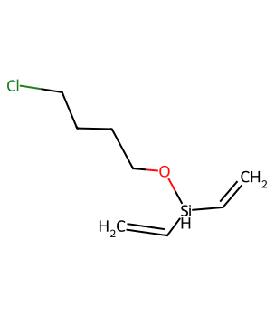 C=C[SiH](C=C)OCCCCCl